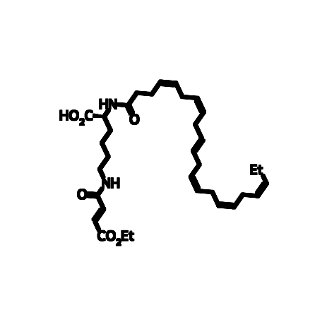 CC/C=C\C/C=C\C/C=C\CC=CC/C=C\C/C=C\CCC(=O)N[C@@H](CCCCNC(=O)/C=C/C(=O)OCC)C(=O)O